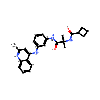 CC(C)(NC(=O)C1CCC1)C(=O)Nc1cccc(Nc2cc(C(F)(F)F)nc3ccccc23)c1